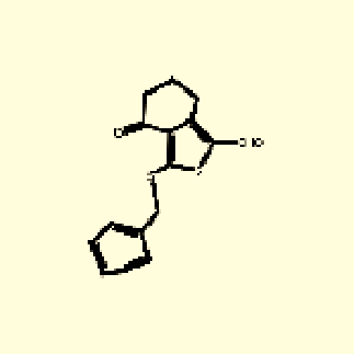 O=Cc1sc(SCc2ccccc2)c2c1CCCC2=O